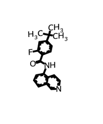 CC(C)(C)c1ccc(C(=O)Nc2cccc3cnccc23)c(F)c1